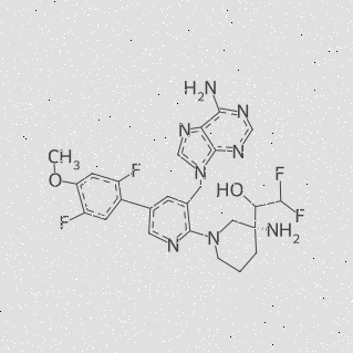 COc1cc(F)c(-c2cnc(N3CCC[C@](N)(C(O)C(F)F)C3)c(Cn3cnc4c(N)ncnc43)c2)cc1F